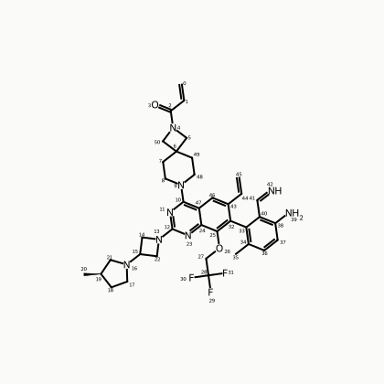 C=CC(=O)N1CC2(CCN(c3nc(N4CC(N5CC[C@@H](C)C5)C4)nc4c(OCC(F)(F)F)c(-c5c(C)ccc(N)c5C=N)c(C=C)cc34)CC2)C1